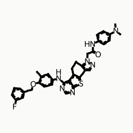 Cc1cc(Nc2ncnc3sc4c(c23)CCc2c-4cnn2CC(=O)Nc2ccc(N(C)C)cc2)ccc1OCc1cccc(F)c1